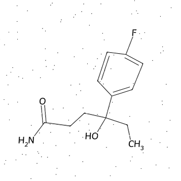 CCC(O)(CCC(N)=O)c1ccc(F)cc1